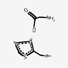 CC(C)(C)c1nncs1.NC(=O)Cl